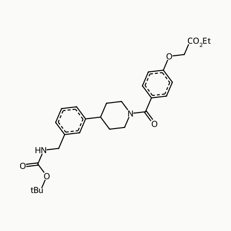 CCOC(=O)COc1ccc(C(=O)N2CCC(c3cccc(CNC(=O)OC(C)(C)C)c3)CC2)cc1